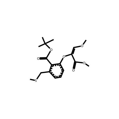 COC=C(Oc1cccc(CSC)c1C(=O)OC(C)(C)C)C(=O)OC